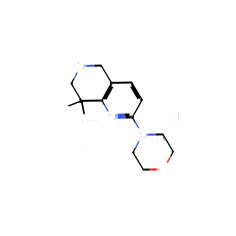 C[C@@H]1COCCN1c1ccc2c(n1)C(C)(C)CNC2.Cl